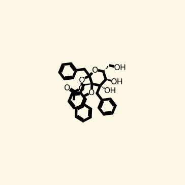 CC(=O)OOC1(Cc2ccccc2)O[C@H](CO)[C@@H](O)[C@@](O)(Cc2ccccc2)[C@]1(Cc1ccccc1)OCc1ccccc1